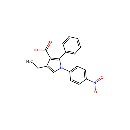 CCc1cn(-c2ccc([N+](=O)[O-])cc2)c(-c2ccccc2)c1C(=O)O